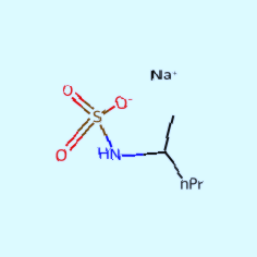 CCCC(C)NS(=O)(=O)[O-].[Na+]